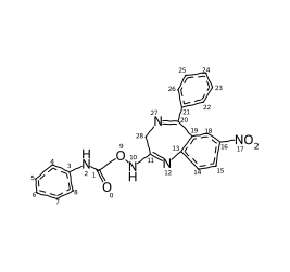 O=C(Nc1ccccc1)ONC1=Nc2ccc([N+](=O)[O-])cc2C(c2ccccc2)=NC1